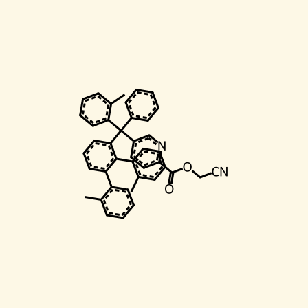 Cc1ccccc1-c1cccc(C(c2ccccc2)(c2ccc(C(=O)OCC#N)nc2)c2ccccc2C)c1-c1ccccc1C